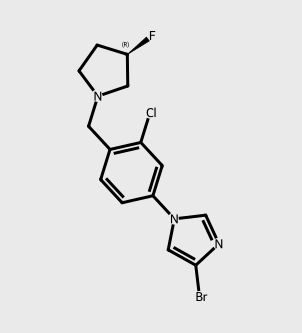 F[C@@H]1CCN(Cc2ccc(-n3cnc(Br)c3)cc2Cl)C1